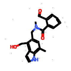 Cc1cc(CN(C)C(=O)c2ccccc2C=O)c(CO)c2cc[nH]c12